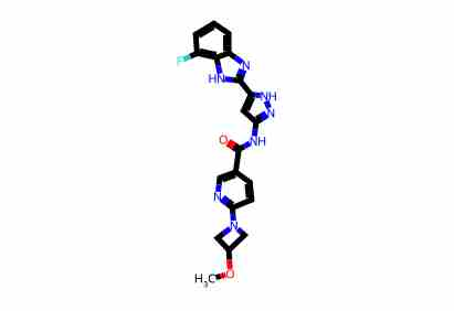 COC1CN(c2ccc(C(=O)Nc3cc(-c4nc5cccc(F)c5[nH]4)[nH]n3)cn2)C1